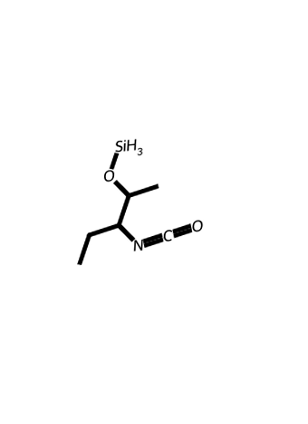 CCC(N=C=O)C(C)O[SiH3]